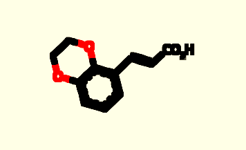 O=C(O)C=Cc1cccc2c1OCCO2